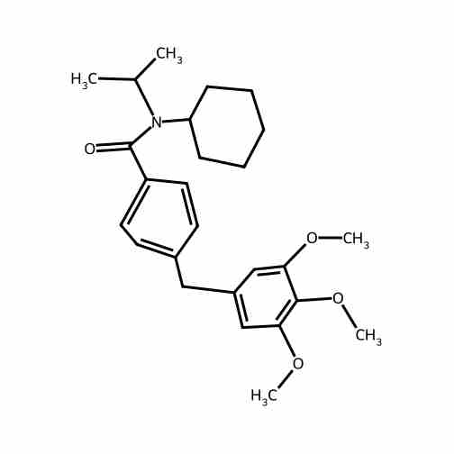 COc1cc(Cc2ccc(C(=O)N(C(C)C)C3CCCCC3)cc2)cc(OC)c1OC